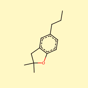 CCCc1ccc2c(c1)CC(C)(C)O2